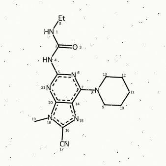 CCNC(=O)Nc1nc(N2CCCCC2)c2nc(C#N)n(C)c2n1